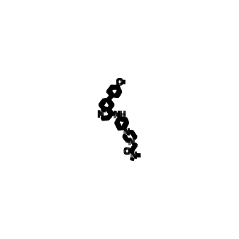 COc1ccc(-c2ccc3nccc(Nc4ccc(N5CCN(CC(=O)N(C)C)CC5)cc4)c3c2)cc1